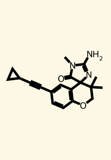 CN1C(=O)C2(N=C1N)c1cc(C#CC3CC3)ccc1OCC2(C)C